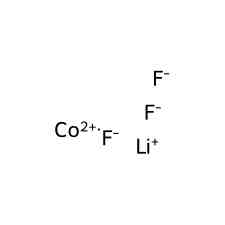 [Co+2].[F-].[F-].[F-].[Li+]